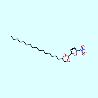 CCCCCCCCCCCCCCCCC1COC(c2ccc([N+](=O)[O-])o2)O1